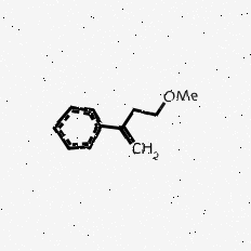 C=C(CCOC)c1ccccc1